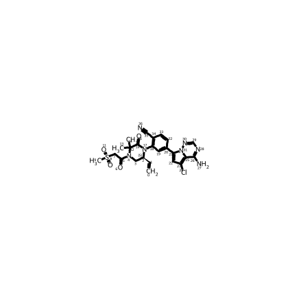 C=C[C@H]1CN(C(=O)CS(C)(=O)=O)C(C)(C)C(=O)N1c1cc(-c2cc(Cl)c3c(N)ncnn23)ccc1C#N